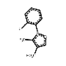 O=C(O)c1cnn(-c2ccccc2Cl)c1C(F)(F)F